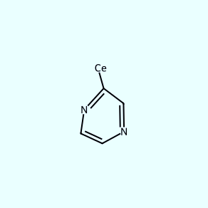 [Ce][c]1cnccn1